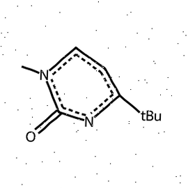 Cn1ccc(C(C)(C)C)nc1=O